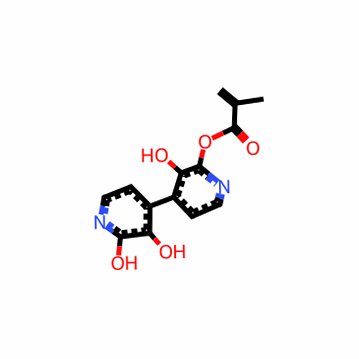 C=C(C)C(=O)Oc1nccc(-c2ccnc(O)c2O)c1O